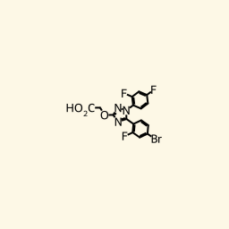 O=C(O)COc1nc(-c2ccc(Br)cc2F)n(-c2ccc(F)cc2F)n1